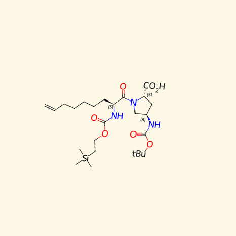 C=CCCCCC[C@H](NC(=O)OCC[Si](C)(C)C)C(=O)N1C[C@H](NC(=O)OC(C)(C)C)C[C@H]1C(=O)O